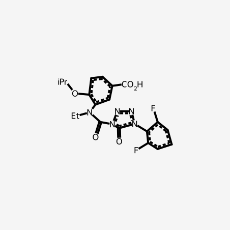 CCN(C(=O)n1nnn(-c2c(F)cccc2F)c1=O)c1cc(C(=O)O)ccc1OC(C)C